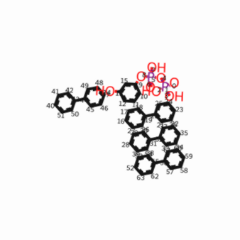 O=P(O)(O)OP(=O)(O)Oc1cccc(O)c1.c1ccc(-c2ccccc2)cc1.c1ccc(-c2ccccc2)cc1.c1ccc(-c2ccccc2)cc1.c1ccc(-c2ccccc2)cc1